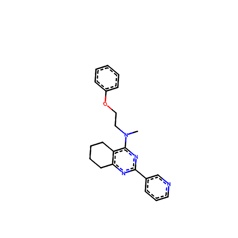 CN(CCOc1ccccc1)c1nc(-c2cccnc2)nc2c1CCCC2